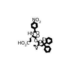 CCC(=O)C(C[C@H](COC(=O)[C@H](CCC(=O)O)NC(=O)c1ccc([N+](=O)[O-])cc1)N(C)C)(c1ccccc1)c1ccccc1